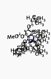 COCOc1cc(OCC[Si](C)(C)C)cc(/C=C/CC2OC(C)(C)OC2C(/C=C\[C@@H](C)C(C)O[Si](C)(C)C(C)(C)C)OC(=O)c2ccccc2)c1C(=O)OCC[Si](C)(C)C